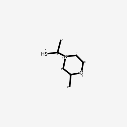 CC1CN(C(C)S)CCO1